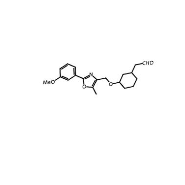 COc1cccc(-c2nc(COC3CCCC(CC=O)C3)c(C)o2)c1